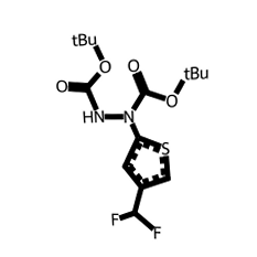 CC(C)(C)OC(=O)NN(C(=O)OC(C)(C)C)c1cc(C(F)F)cs1